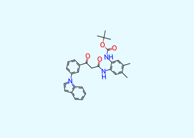 Cc1cc(NC(=O)CC(=O)c2cccc(-n3ccc4ccccc43)c2)c(NC(=O)OC(C)(C)C)cc1C